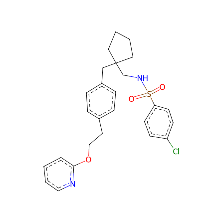 O=S(=O)(NCC1(Cc2ccc(CCOc3ccccn3)cc2)CCCC1)c1ccc(Cl)cc1